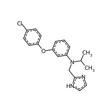 CC(C)N(Cc1ncc[nH]1)c1cccc(Oc2ccc(Cl)cc2)c1